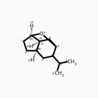 CC(C)C1C[C@H]2CC[C@H]3OC1C[C@@H]23